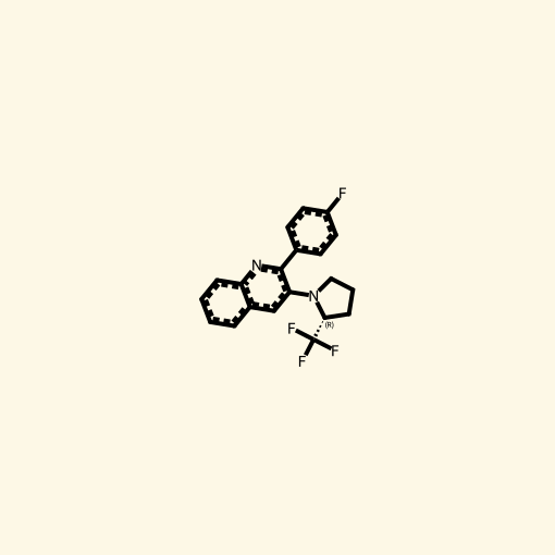 Fc1ccc(-c2nc3ccccc3cc2N2CCC[C@@H]2C(F)(F)F)cc1